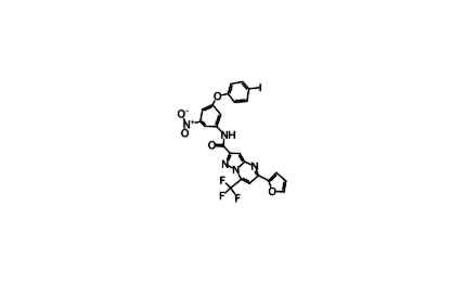 O=C(Nc1cc(Oc2ccc(I)cc2)cc([N+](=O)[O-])c1)c1cc2nc(-c3ccco3)cc(C(F)(F)F)n2n1